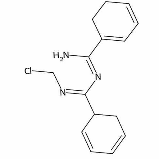 N/C(=N\C(=N/CCl)C1C=CC=CC1)C1=CC=CCC1